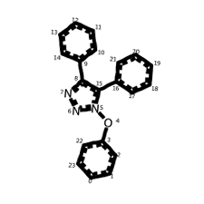 c1ccc(On2nnc(-c3ccccc3)c2-c2ccccc2)cc1